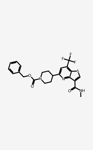 CNC(=O)c1csc2c(C(F)(F)F)cc(C3CCN(C(=O)OCc4ccccc4)CC3)nc12